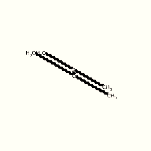 CCCCCCCCCCCCCCCCCCCCCC(=O)OCCCCCCCCCCCCCCCCCC.CCCCCCCCCCCCCCCCOCCCCCCCCCCCCCCCC